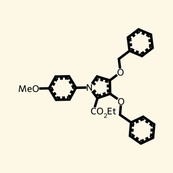 CCOC(=O)c1c(OCc2ccccc2)c(OCc2ccccc2)cn1-c1ccc(OC)cc1